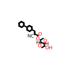 N#C/C(=C\c1ccc(-c2ccccc2)cc1)C(=O)O[C@@H]1CO[C@H]2[C@@H]1OC[C@@H]2O